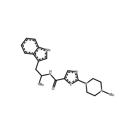 CCCCC(Cc1c[nH]c2ccccc12)NC(=O)c1cnc(N2CCN(C(C)(C)C)CC2)s1